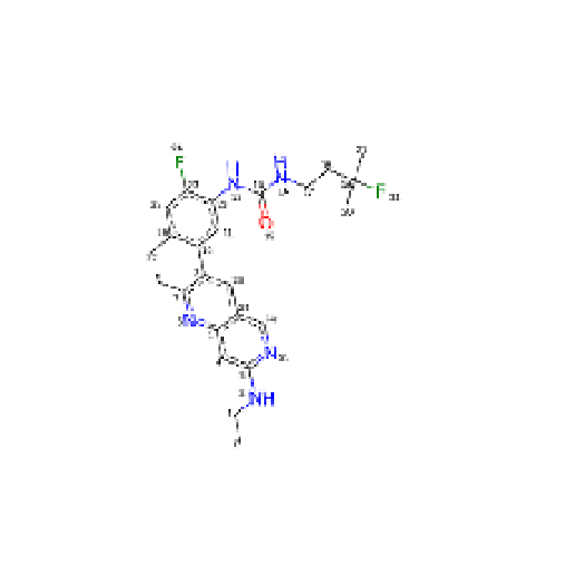 CCNc1cc2nc(C)c(-c3cc(NC(=O)NCCC(C)(C)F)c(F)cc3C)cc2cn1